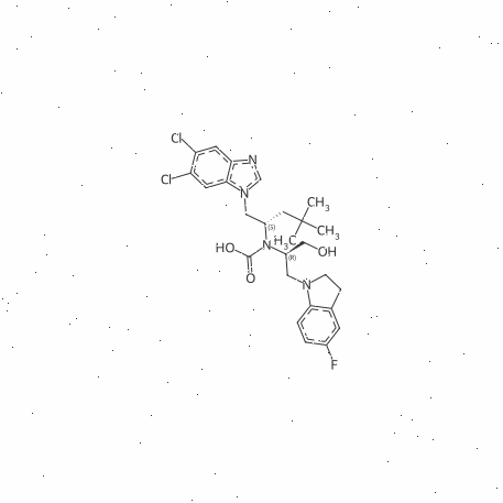 CC(C)(C)C[C@@H](Cn1cnc2cc(Cl)c(Cl)cc21)N(C(=O)O)[C@@H](CO)CN1CCc2cc(F)ccc21